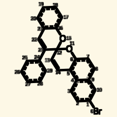 Brc1ccc2c3c(ccc2c1)OC1(C=C3)Oc2ccccc2C=C1c1ccccc1